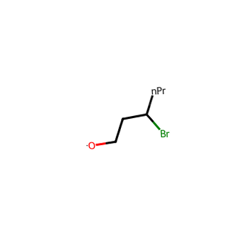 CCCC(Br)CC[O]